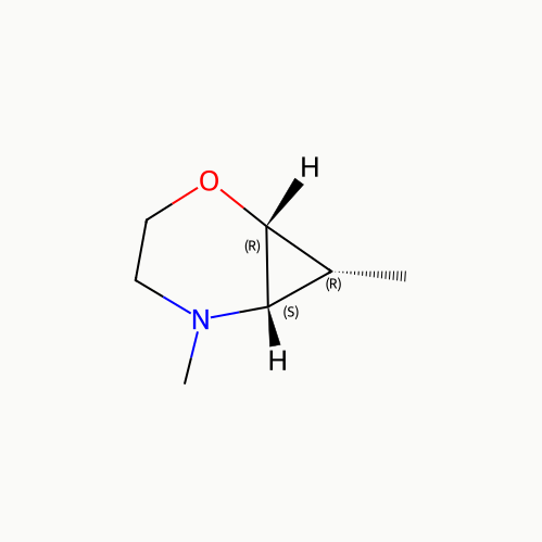 C[C@H]1[C@H]2OCCN(C)[C@@H]12